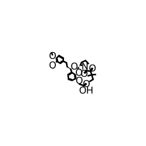 CCC(C)(C)C(=O)C(=O)N1CCC[C@H]1C(=O)O[C@H](CCc1ccc(OC)c(OC)c1)c1cccc(OCC(=O)O)c1